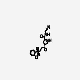 N#CCNC(=O)[C@@H]1C[C@@H](C(=O)CCS(=O)(=O)c2ccccc2Cl)CN1